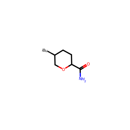 CCC(C)C1CCC(C(N)=O)OC1